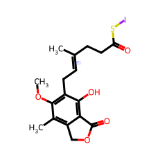 COc1c(C)c2c(c(O)c1C/C=C(\C)CCC(=O)SI)C(=O)OC2